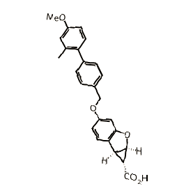 COc1ccc(-c2ccc(COc3ccc4c(c3)O[C@H]3[C@H](C(=O)O)[C@@H]43)cc2)c(C)c1